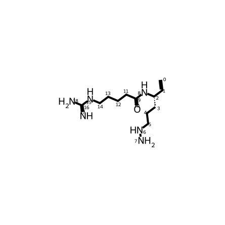 C=C[C@H](CCCNN)NC(=O)CCCCNC(=N)N